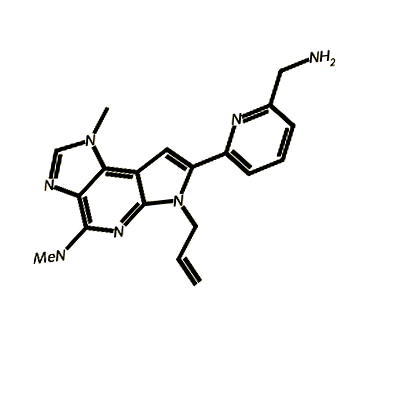 C=CCn1c(-c2cccc(CN)n2)cc2c3c(ncn3C)c(NC)nc21